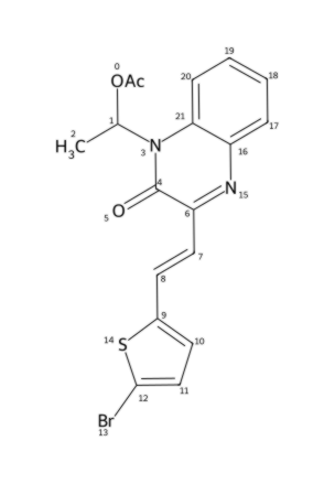 CC(=O)OC(C)n1c(=O)c(/C=C/c2ccc(Br)s2)nc2ccccc21